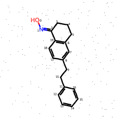 ON=C1CCCc2cc(CCc3ccccc3)ccc21